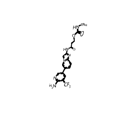 CC(C)(C)NC(=O)OCCC(=O)Nc1cn2cc(-c3cnc(N)c(C(F)(F)F)c3)ccc2n1